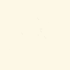 CC(c1ccnc(-c2ccc(Cl)cc2)c1)C1(C(C)c2ccnc(-c3ccc(Cl)cc3)c2)NC(=O)N(c2ccc(OC(F)(F)F)cc2)C1=O